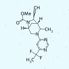 C#C[C@H]1[C@H]2C[C@H](CN(c3cc(C(C)(F)F)ncn3)C2C)N1C(=O)OC